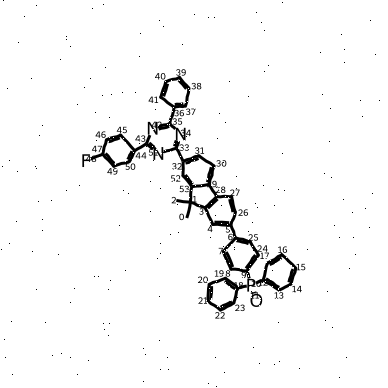 CC1(C)c2cc(-c3ccc(P(=O)(c4ccccc4)c4ccccc4)cc3)ccc2-c2ccc(-c3nc(-c4ccccc4)nc(-c4ccc(F)cc4)n3)cc21